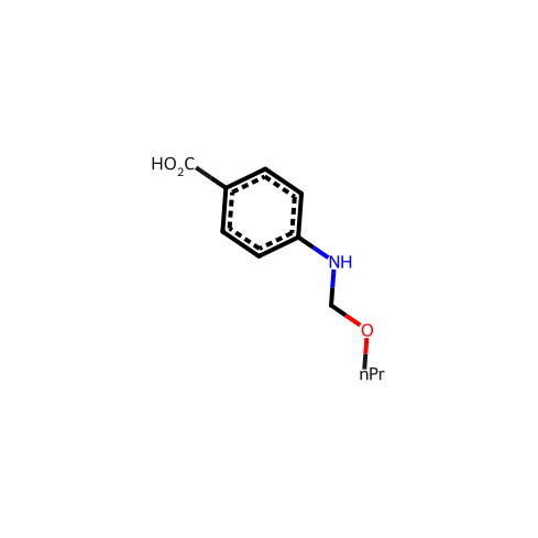 CCCOCNc1ccc(C(=O)O)cc1